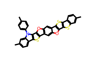 Cc1ccc(-n2c3cc(C)ccc3c3sc4c5cc6oc7c(sc8c9ccc(C)cc9sc78)c6cc5oc4c32)cc1